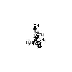 N#Cc1cc2c(-c3oc4cccc-4cc3N)c(C(N)=O)sc2nc1NCC1CC(O)C1